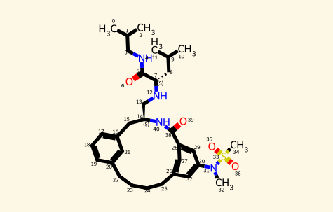 CC(C)CNC(=O)[C@H](CC(C)C)NC[C@@H]1Cc2cccc(c2)CCCCc2cc(cc(N(C)S(C)(=O)=O)c2)C(=O)N1